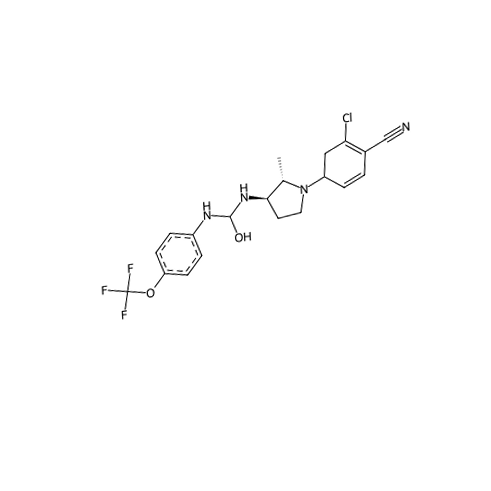 C[C@H]1[C@H](NC(O)Nc2ccc(OC(F)(F)F)cc2)CCN1C1C=CC(C#N)=C(Cl)C1